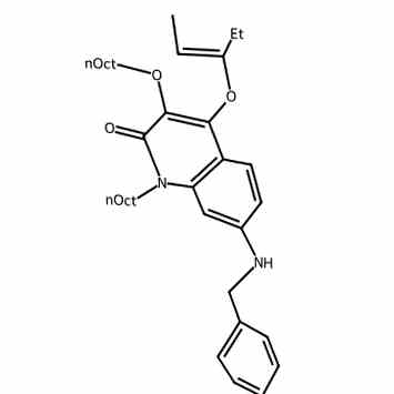 CC=C(CC)Oc1c(OCCCCCCCC)c(=O)n(CCCCCCCC)c2cc(NCc3ccccc3)ccc12